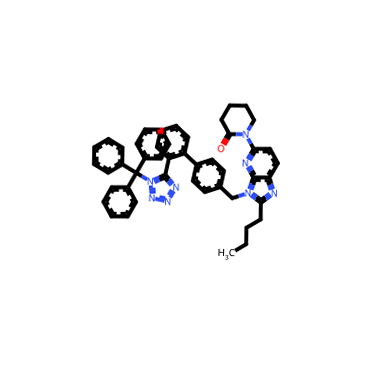 CCCCc1nc2ccc(N3CCCCC3=O)nc2n1Cc1ccc(-c2ccccc2-c2nnnn2C(c2ccccc2)(c2ccccc2)c2ccccc2)cc1